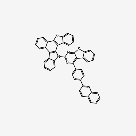 c1ccc2cc(-c3ccc(-c4nc(-n5c6ccccc6c6c7ccccc7c7sc8ccccc8c7c65)nc5sc6ccccc6c45)cc3)ccc2c1